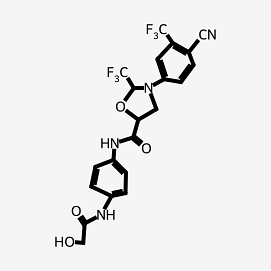 N#Cc1ccc(N2CC(C(=O)Nc3ccc(NC(=O)CO)cc3)OC2C(F)(F)F)cc1C(F)(F)F